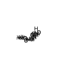 CC1(COC(=O)NCc2ccc3c(c2)C(=O)N(C2CCC(=O)NC2=O)C3)CN(C2CC2)C1